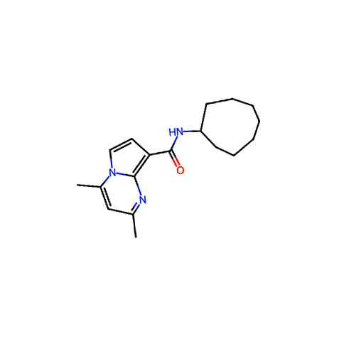 Cc1cc(C)n2ccc(C(=O)NC3CCCCCCC3)c2n1